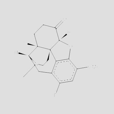 COc1cc(F)c2c3c1O[C@H]1C(=O)CC[C@H]4[C@@H](C2)N(C)CC[C@]314